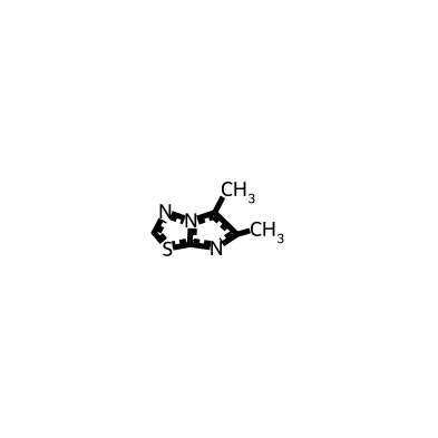 Cc1nc2scnn2c1C